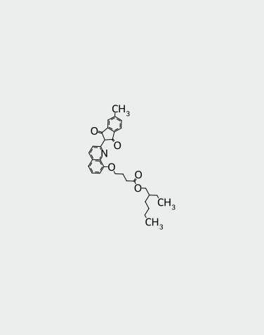 CCCCC(CC)COC(=O)CCCOc1cccc2ccc(C3C(=O)c4ccc(C)cc4C3=O)nc12